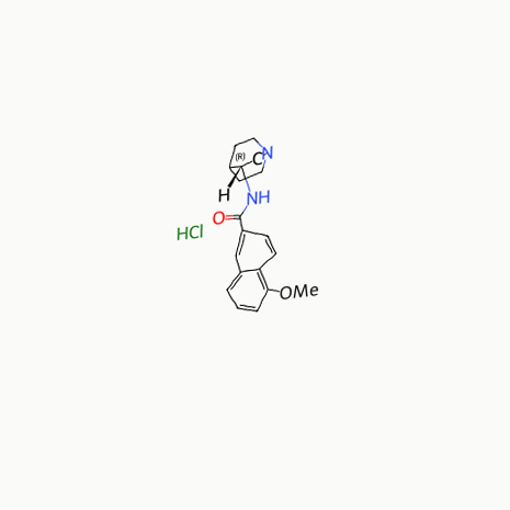 COc1cccc2cc(C(=O)N[C@H]3CN4CCC3CC4)ccc12.Cl